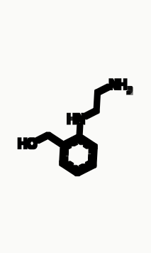 NCCNc1ccccc1CO